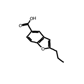 CCCc1cc2cc(C(=O)O)ccc2o1